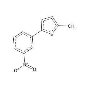 Cc1ccc(-c2cccc([N+](=O)[O-])c2)s1